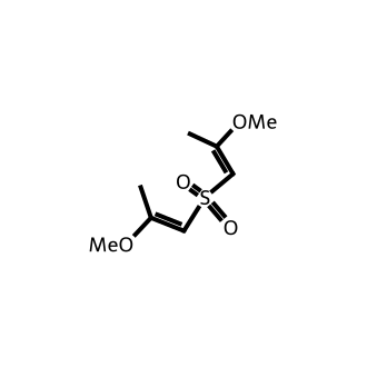 COC(C)=CS(=O)(=O)C=C(C)OC